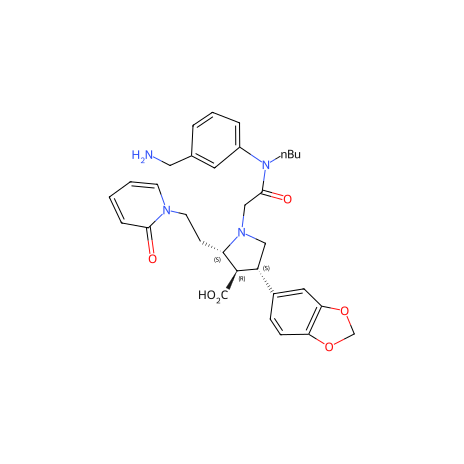 CCCCN(C(=O)CN1C[C@H](c2ccc3c(c2)OCO3)[C@@H](C(=O)O)[C@@H]1CCn1ccccc1=O)c1cccc(CN)c1